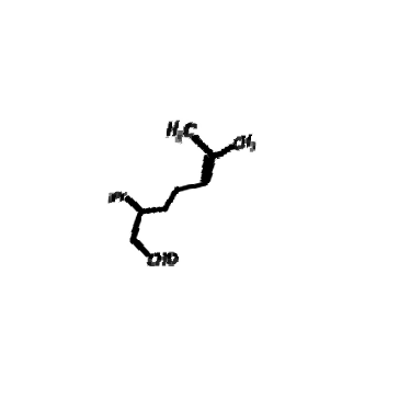 CC(C)=CCCC(CC=O)C(C)C